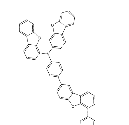 c1ccc(-c2cccc3c2oc2ccc(-c4ccc(N(c5ccc6c(c5)oc5ccccc56)c5cccc6c5oc5ccccc56)cc4)cc23)cc1